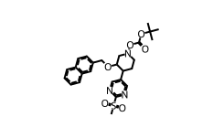 CC(C)(C)OC(=O)ON1CCC(c2cnc(S(C)(=O)=O)nc2)C(OCc2ccc3ccccc3c2)C1